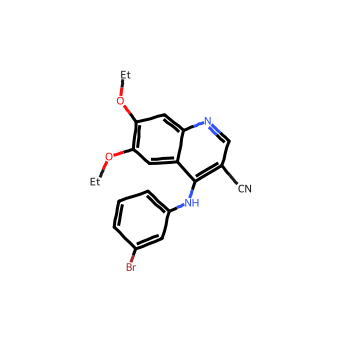 CCOc1cc2ncc(C#N)c(Nc3cccc(Br)c3)c2cc1OCC